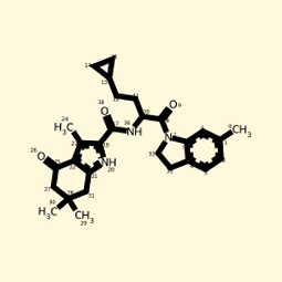 Cc1ccc2c(c1)N(C(=O)C(CCC1CC1)NC(=O)c1[nH]c3c(c1C)C(=O)CC(C)(C)C3)CC2